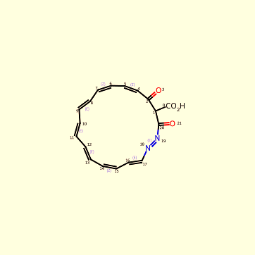 O=C(O)C1C(=O)\C=C/C=C\C=C\C=C\C=C\C=C/C=C/N=N/C1=O